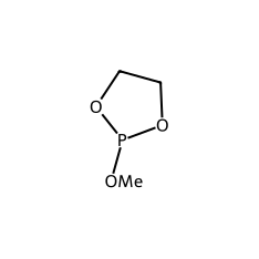 COP1OCCO1